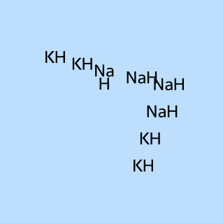 [KH].[KH].[KH].[KH].[NaH].[NaH].[NaH].[NaH]